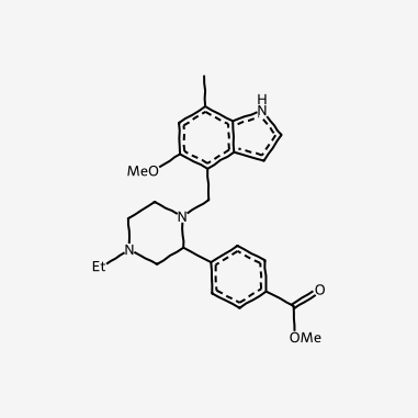 CCN1CCN(Cc2c(OC)cc(C)c3[nH]ccc23)C(c2ccc(C(=O)OC)cc2)C1